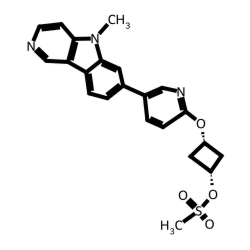 Cn1c2ccncc2c2ccc(-c3ccc(O[C@H]4C[C@@H](OS(C)(=O)=O)C4)nc3)cc21